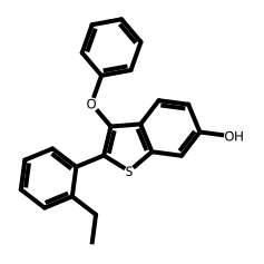 CCc1ccccc1-c1sc2cc(O)ccc2c1Oc1ccccc1